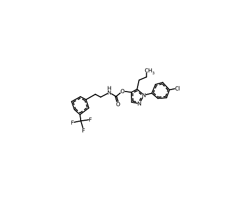 CCCc1c(OC(=O)NCCc2cccc(C(F)(F)F)c2)cnn1-c1ccc(Cl)cc1